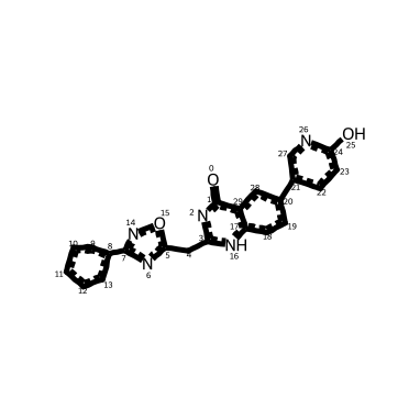 O=c1nc(Cc2nc(-c3ccccc3)no2)[nH]c2ccc(-c3ccc(O)nc3)cc12